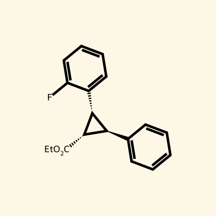 CCOC(=O)[C@H]1[C@H](c2ccccc2)[C@H]1c1ccccc1F